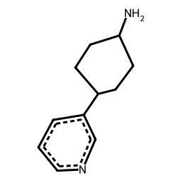 NC1CCC(c2cccnc2)CC1